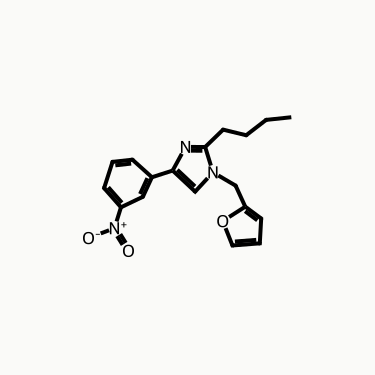 CCCCc1nc(-c2cccc([N+](=O)[O-])c2)cn1Cc1ccco1